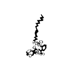 CCCCCCCCCCCCCC=C(C)NC(=O)NC1CCCCC1C(CNC(=O)C1OC(C)(C)OCC1(C)C)C(=O)O